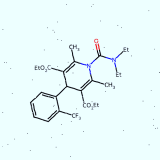 CCOC(=O)C1=C(C)N(C(=O)N(CC)CC)C(C)=C(C(=O)OCC)C1c1ccccc1C(F)(F)F